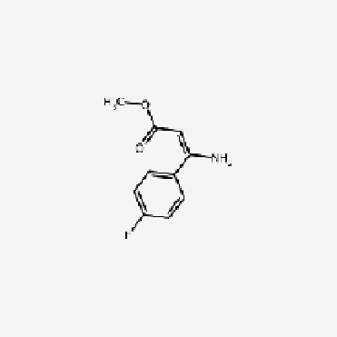 COC(=O)/C=C(/N)c1ccc(F)cc1